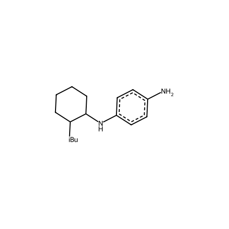 CCC(C)C1CCCCC1Nc1ccc(N)cc1